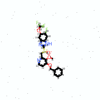 COc1c(OCc2ccccc2)ccnc1C[S+]([O-])c1nc2cc(OC(F)F)c(F)cc2[nH]1